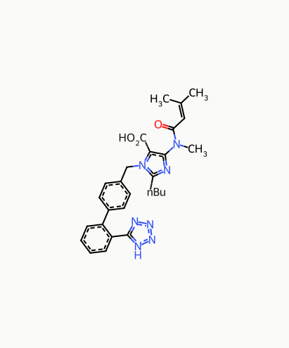 CCCCc1nc(N(C)C(=O)C=C(C)C)c(C(=O)O)n1Cc1ccc(-c2ccccc2-c2nnn[nH]2)cc1